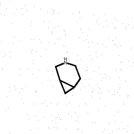 [CH]1CC2CC2CN1